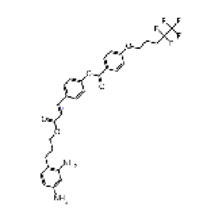 Nc1ccc(CCCOC(=O)/C=C/c2ccc(OC(=O)c3ccc(OCCCC(F)(F)C(F)(F)F)cc3)cc2)c(N)c1